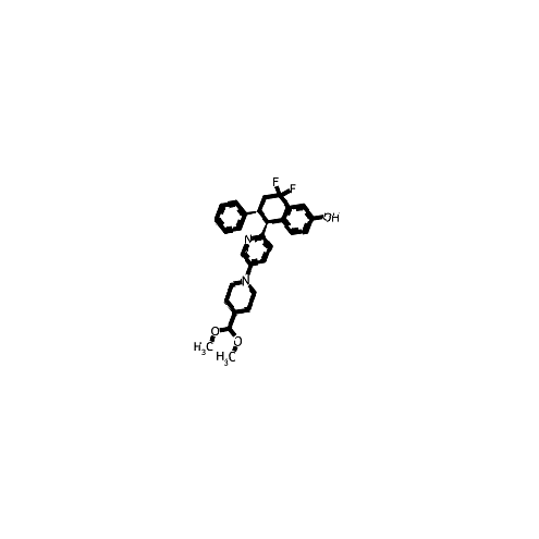 COC(OC)C1CCN(c2ccc([C@@H]3c4ccc(O)cc4C(F)(F)C[C@@H]3c3ccccc3)nc2)CC1